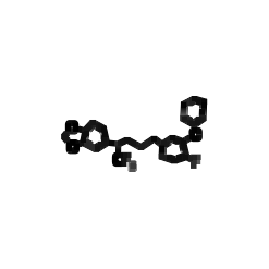 Fc1ccc(CCCC(c2ccc3c(c2)OCO3)C(F)(F)F)cc1Oc1ccccc1